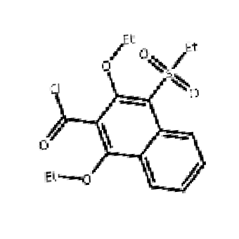 CCOc1c(C(=O)Cl)c(OCC)c2ccccc2c1S(=O)(=O)CC